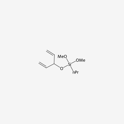 C=CC(C=C)O[Si](CCC)(OC)OC